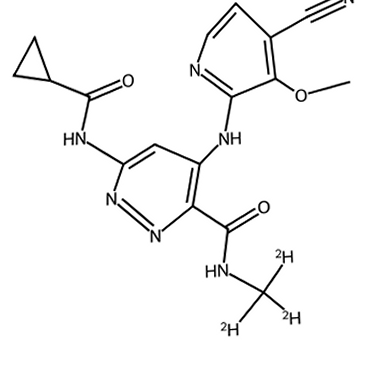 [2H]C([2H])([2H])NC(=O)c1nnc(NC(=O)C2CC2)cc1Nc1nccc(C#N)c1OC